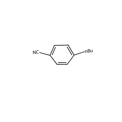 [CH2]CCCc1ccc(C#N)cc1